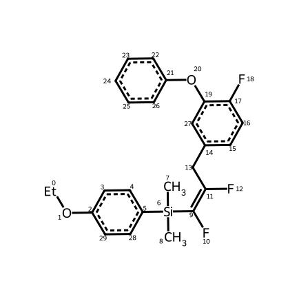 CCOc1ccc([Si](C)(C)/C(F)=C(/F)Cc2ccc(F)c(Oc3ccccc3)c2)cc1